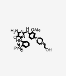 COc1cc(N2CCN(CCO)CC2)ccc1Nc1nc(N)c(Cl)c(Nc2ccccc2S(=O)(=O)C(C)C)n1